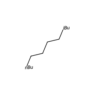 [CH2]CCCCCCCC(C)C[CH2]